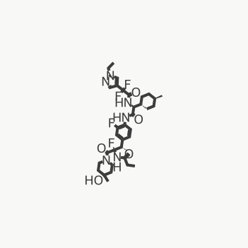 CCC(=O)N[C@@](F)(C(=O)N1CCC(C)(O)CC1)[C@@H](C)c1ccc(NC(=O)[C@@H](NC(=O)C(F)(F)c2cnn(CC)c2)[C@H]2CC[C@H](C)CC2)c(F)c1